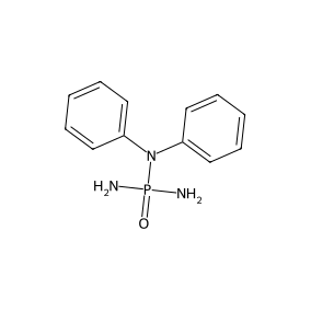 NP(N)(=O)N(c1ccccc1)c1ccccc1